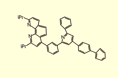 CC(C)c1ccc2ccc3c(-c4cccc(-c5cc(-c6ccc(-c7ccccc7)cc6)cc(-c6ccccc6)n5)c4)cc(C(C)C)nc3c2n1